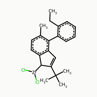 CCc1ccccc1-c1c(C)ccc2c1C=C(C(C)(C)C)[CH]2[Zr]([Cl])[Cl]